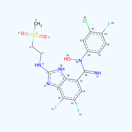 CS(=O)(=O)CCNc1nc2c(F)c(F)cc(C(=N)N(O)c3ccc(F)c(Cl)c3)c2[nH]1